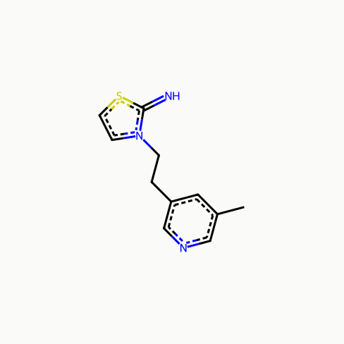 Cc1cncc(CCn2ccsc2=N)c1